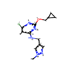 Cc1c(Cl)nc(OCC2CC2)nc1NCc1cnn(C)c1